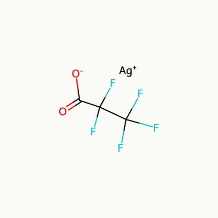 O=C([O-])C(F)(F)C(F)(F)F.[Ag+]